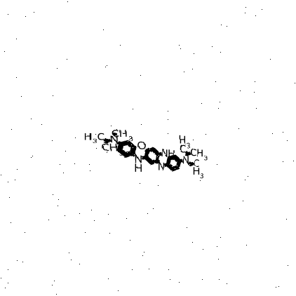 CCN(c1ccc(/N=C2/C=C(Nc3ccc(N(C)C(C)C)cc3)C(=O)C=C2N)cc1)C(C)C